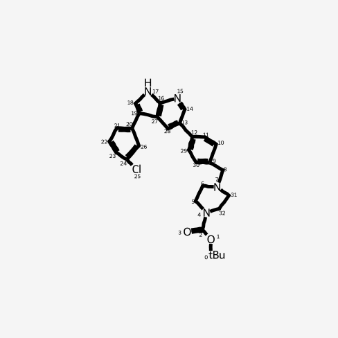 CC(C)(C)OC(=O)N1CCN(Cc2ccc(-c3cnc4[nH]cc(-c5cccc(Cl)c5)c4c3)cc2)CC1